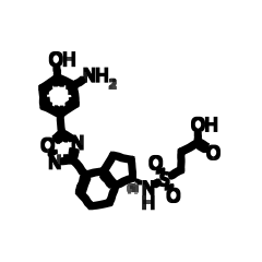 Nc1cc(-c2nc(C3=CCCC4=C3CC[C@@H]4NS(=O)(=O)CCC(=O)O)no2)ccc1O